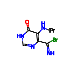 CC(C)Nc1c(C(=N)Br)nc[nH]c1=O